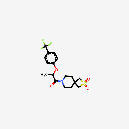 CC(Oc1ccc(C(F)(F)F)cc1)C(=O)N1CCC2(CC1)CS(=O)(=O)C2